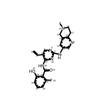 C=Cc1cnc(Nc2cnc3c(c2)CN(C)CC3)nc1NC(=O)c1c(O)cccc1F